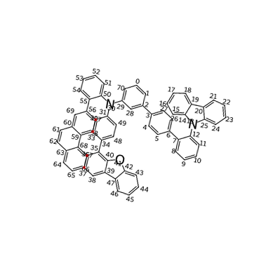 c1cc(-c2ccc(-c3ccccc3-n3c4ccccc4c4ccccc43)cc2)cc(N(c2ccc(-c3cccc4c3oc3ccccc34)cc2)c2ccccc2-c2ccc3c(ccc4ccccc43)c2)c1